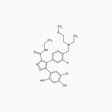 CCNC(=O)c1noc(-c2cc(Cl)c(O)cc2O)c1-c1ccc(CN(CC)CCOC)c(F)c1